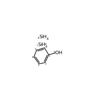 Oc1ccccc1.[SiH4].[SiH4]